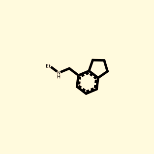 CCNCc1cccc2c1CCC2